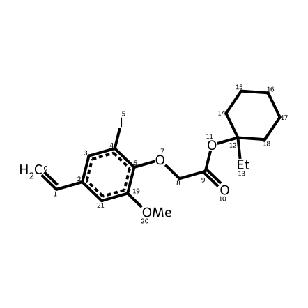 C=Cc1cc(I)c(OCC(=O)OC2(CC)CCCCC2)c(OC)c1